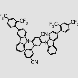 N#Cc1cccc(-c2cc(-n3c4ccccc4c4cc(-c5ccc(C(F)(F)F)cc5C(F)(F)F)ccc43)c(C#N)cc2-n2c3ccccc3c3cc(-c4ccc(C(F)(F)F)cc4C(F)(F)F)ccc32)c1